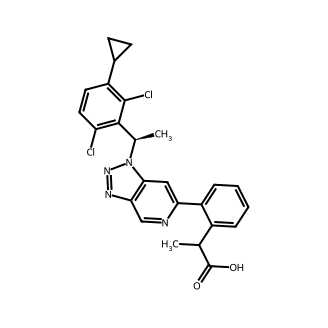 CC(C(=O)O)c1ccccc1-c1cc2c(cn1)nnn2[C@H](C)c1c(Cl)ccc(C2CC2)c1Cl